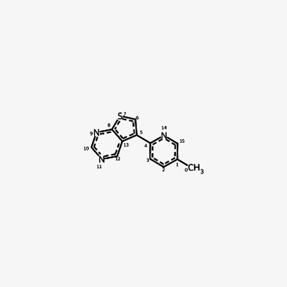 Cc1ccc(-c2csc3ncncc23)nc1